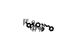 O=C(N[C@H]1CC[C@H](CN(CCCc2ccccc2)c2ccn[nH]2)CC1)c1cc(C(F)(F)F)ccc1Cl